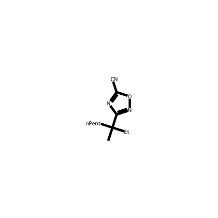 CCCCCC(C)(CC)c1noc(C#N)n1